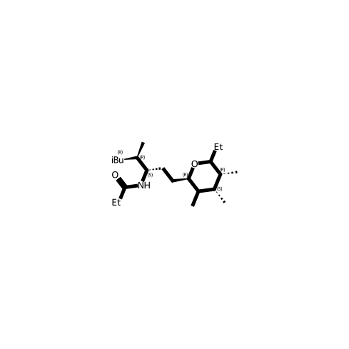 CCC(=O)N[C@@H](CC[C@H]1OC(CC)[C@H](C)[C@H](C)C1C)[C@H](C)[C@H](C)CC